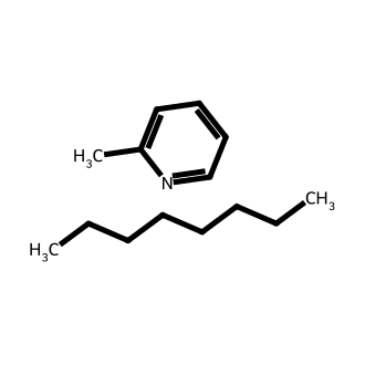 CCCCCCCC.Cc1ccccn1